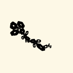 Cc1cccc(N2C(=O)c3ccc(Nc4ccc5c(c4)C(=O)N(c4ccc([PH](c6ccccc6)(c6ccccc6)c6ccccc6)cc4)C5=O)cc3C2=O)c1